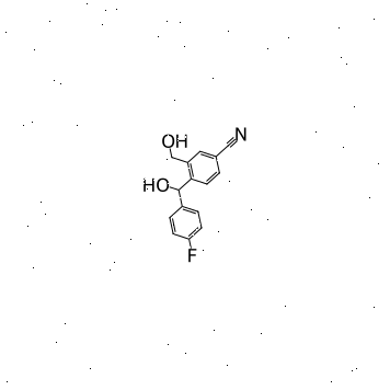 N#Cc1ccc(C(O)c2ccc(F)cc2)c(CO)c1